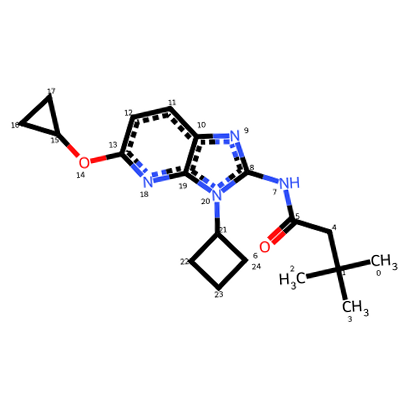 CC(C)(C)CC(=O)Nc1nc2ccc(OC3CC3)nc2n1C1CCC1